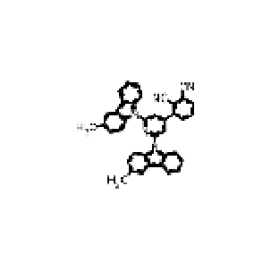 Cc1ccc2c(c1)c1ccccc1n2-c1cc(-c2cccc(C#N)c2C#N)cc(-n2c3ccccc3c3cc(C)ccc32)n1